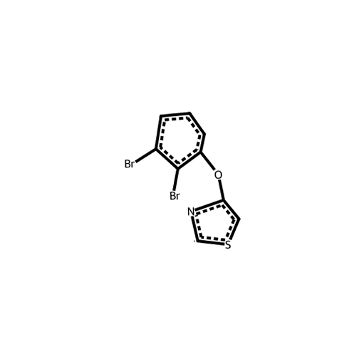 Brc1cccc(Oc2cs[c]n2)c1Br